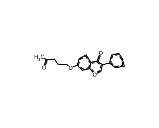 CC(=O)CCCOc1ccc2c(=O)c(-c3ccccc3)coc2c1